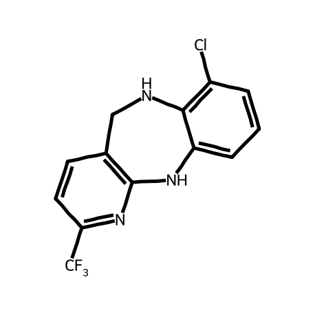 FC(F)(F)c1ccc2c(n1)Nc1cccc(Cl)c1NC2